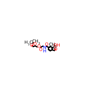 Cc1c(C(=O)NCC(=O)OCC2COC(C)(C)O2)ccc2c1B(O)OC2